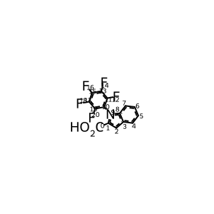 O=C(O)c1cc2ccccc2n1-c1c(F)c(F)c(F)c(F)c1F